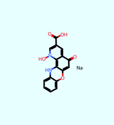 O=C(O)c1cc2c(=O)cc3c(c-2n(O)c1)Nc1ccccc1O3.[Na]